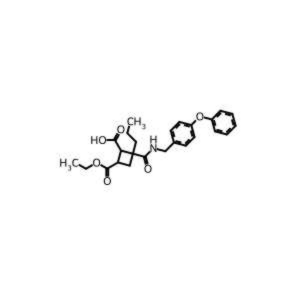 CCCC1(C(=O)NCc2ccc(Oc3ccccc3)cc2)CC(C(=O)OCC)C1C(=O)O